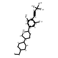 CCC1CCC(C2CCC(c3cc(F)c(C#CC(F)(F)F)c(F)c3)OC2)CC1